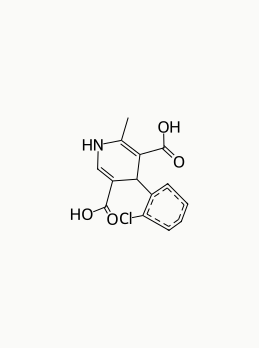 CC1=C(C(=O)O)C(c2ccccc2Cl)C(C(=O)O)=CN1